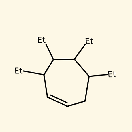 CCC1C=CCC(CC)C(CC)C1CC